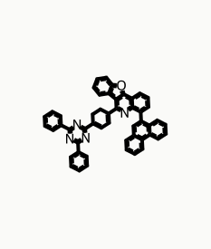 C1=C(c2nc(-c3ccccc3)nc(-c3ccccc3)n2)CCC(c2nc3c(-c4cc5ccccc5c5ccccc45)cccc3c3oc4ccccc4c23)=C1